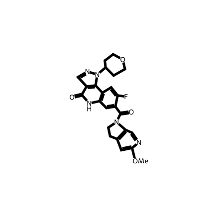 COc1cc2c(cn1)N(C(=O)c1cc3[nH]c(=O)c4cnn(C5CCOCC5)c4c3cc1F)CC2